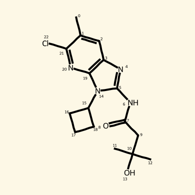 Cc1cc2nc(NC(=O)CC(C)(C)O)n(C3CCC3)c2nc1Cl